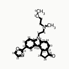 COCCN(C)CCn1c2ccc(-c3ncco3)cc2c2c3c(ccc21)C(=O)CC3